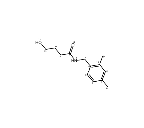 Cc1ccc(CNC(=O)CCCO)c(C)c1